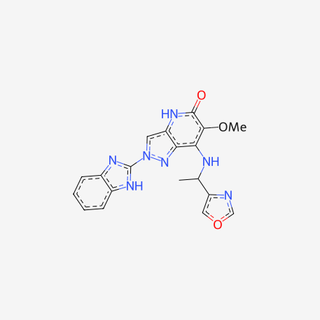 COc1c(NC(C)c2cocn2)c2nn(-c3nc4ccccc4[nH]3)cc2[nH]c1=O